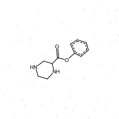 O=C(Oc1ccccc1)C1CNCCN1